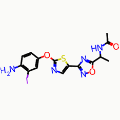 CC(=O)NC(C)c1nc(-c2cnc(Oc3ccc(N)c(I)c3)s2)no1